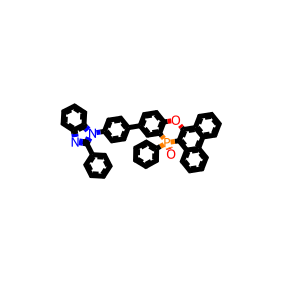 O=P1(c2ccccc2)c2cc(-c3ccc(-n4c(-c5ccccc5)nc5ccccc54)cc3)ccc2Oc2c1c1ccccc1c1ccccc21